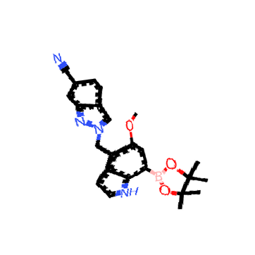 COc1cc(B2OC(C)(C)C(C)(C)O2)c2[nH]ccc2c1Cn1cc2ccc(C#N)cc2n1